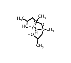 CC(O)C[Si](C)(C)O[Si](C)(C)CC(C)O